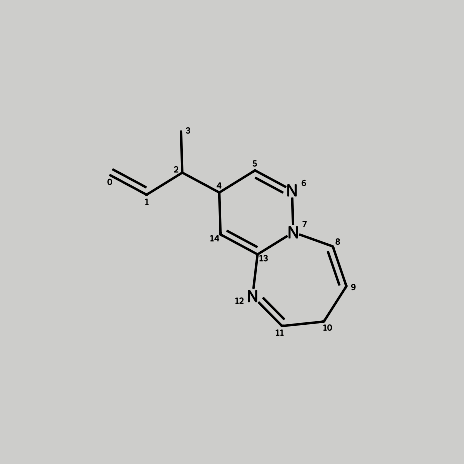 C=CC(C)C1C=NN2C=CCC=NC2=C1